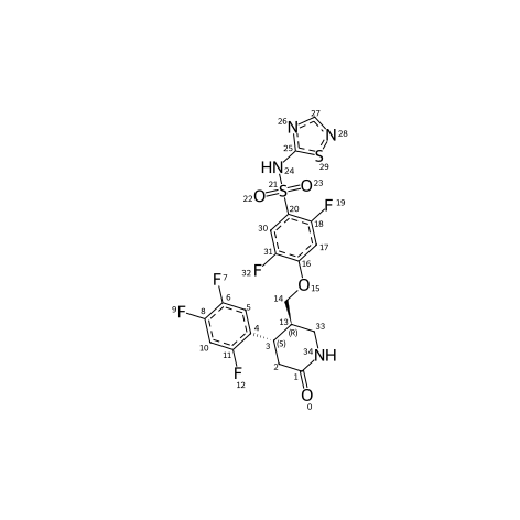 O=C1C[C@H](c2cc(F)c(F)cc2F)[C@@H](COc2cc(F)c(S(=O)(=O)Nc3ncns3)cc2F)CN1